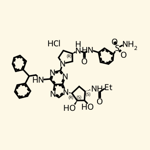 CCC(=O)N[C@H]1C[C@@H](n2cnc3c(NCC(c4ccccc4)c4ccccc4)nc(N4CC[C@@H](NC(=O)Nc5cccc(S(N)(=O)=O)c5)C4)nc32)[C@H](O)C1O.Cl